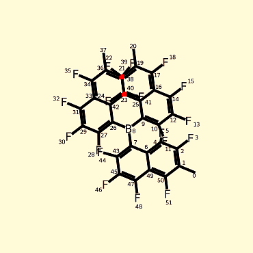 Cc1c(F)c(F)c2c(B(c3c(F)c(F)c(F)c4c(F)c(C)c(F)c(F)c34)c3c(F)c(F)c(F)c4c(F)c(C)c(F)c(F)c34)c(F)c(F)c(F)c2c1F